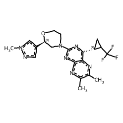 Cc1nc2nc(N3CCO[C@H](c4cnn(C)c4)C3)nc([C@@H]3CC3C(F)(F)F)c2nc1C